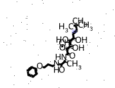 CO[C@@H](C(=O)N[C@@H](C)C(=O)NCCCOc1ccccc1)[C@H](O)[C@@H](O)[C@H](O)/C=C/C(C)(C)C